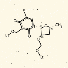 CCOCO[C@@H]1C[C@@H](C)O[C@H]1n1cc(F)c(=O)n(COCC)c1=O